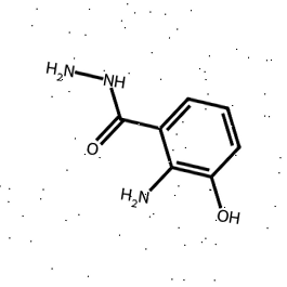 NNC(=O)c1cccc(O)c1N